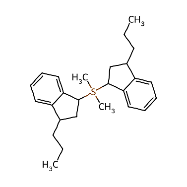 CCCC1CC(S(C)(C)C2CC(CCC)c3ccccc32)c2ccccc21